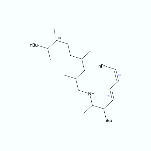 CCC/C=C\C=C\C(C(C)CC)C(C)NCC(C)CC(C)CC[C@@H](C)C(C)CCCC